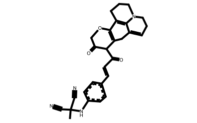 CC(C#N)(C#N)Nc1ccc(C=CC(=O)C2C(=O)COC3=C2CC2=CCCN4CCCC3=C24)cc1